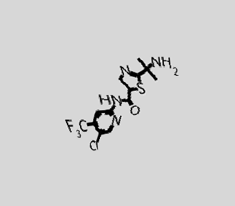 CC(C)(N)C1=NCC(C(=O)Nc2cc(C(F)(F)F)c(Cl)cn2)S1